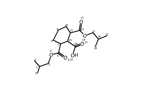 CC(C)COC(=O)C1CCCC(C(=O)OCC(C)C)C1C(=O)O